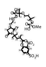 COP(=O)(O)OC(C)(C)CCOC(C)(C)P(=O)(O)OPCSC1CC(=O)N(C(C)(C)CC(C)C(=O)Oc2ccc(S(=O)(=O)O)cc2[N+](=O)[O-])C1=O